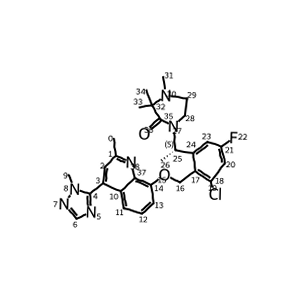 Cc1cc(-c2ncnn2C)c2cccc(OCc3c(Cl)cc(F)cc3[C@H](C)N3CCN(C)C(C)(C)C3=O)c2n1